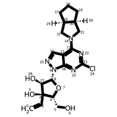 C=C[C@@]1(O)[C@@H](CO)O[C@@H](n2ncc3c(N4C[C@H]5CCC[C@H]5C4)nc(Cl)nc32)[C@@H]1O